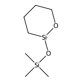 C[Si](C)(C)O[Si]1CCCCO1